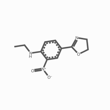 CCNc1ccc(C2=NCCO2)cc1[N+](=O)[O-]